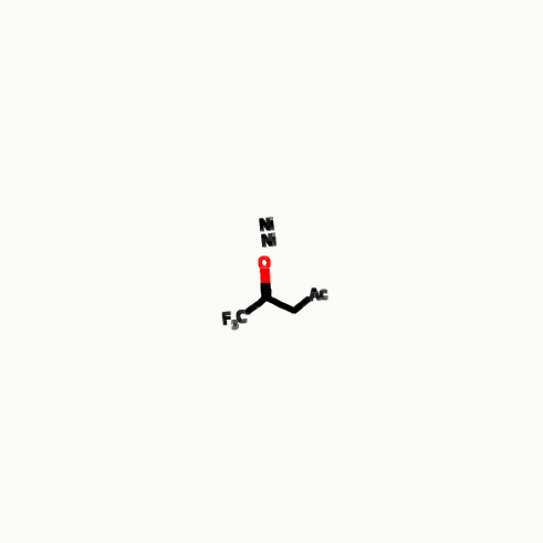 CC(=O)CC(=O)C(F)(F)F.[Ni].[Ni]